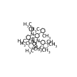 Cc1ccc(N2c3ccc(C)cc3B3c4c2cc(-c2c(C)cccc2C)cc4N(c2ccc4c(c2)C(C)(C)CCC4(C)C)c2sc4c(c23)C(C)(C)CCC4(C)C)cc1